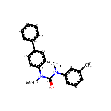 CON(C(=O)N(C)c1cccc(C(F)(F)F)c1)c1ccc(-c2ccccc2)cc1